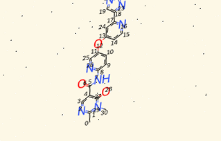 Cc1ncc(C(=O)Nc2ccc(Oc3ccnc(-c4cn(C)cn4)c3)cn2)c(=O)n1C